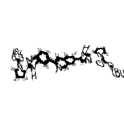 CC(C)(C)OC(=O)N1CCC[C@H]1c1ncc(-c2ccc3cc(-c4ccc5nc([C@@H]6CCCN6C(=O)OC(C)(C)C)[nH]c5c4)ncc3c2)[nH]1